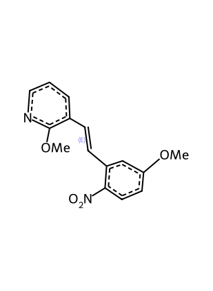 COc1ccc([N+](=O)[O-])c(/C=C/c2cccnc2OC)c1